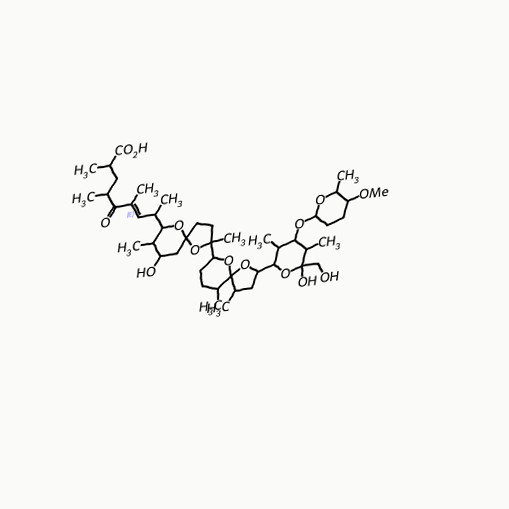 COC1CCC(OC2C(C)C(C3CC(C)C4(O3)OC(C3(C)CCC5(CC(O)C(C)C(C(C)/C=C(\C)C(=O)C(C)CC(C)C(=O)O)O5)O3)CCC4C)OC(O)(CO)C2C)OC1C